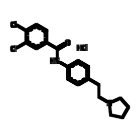 Cl.O=C(Nc1ccc(CCN2CCCC2)cc1)c1ccc(Cl)c(Cl)c1